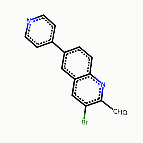 O=Cc1nc2ccc(-c3ccncc3)cc2cc1Br